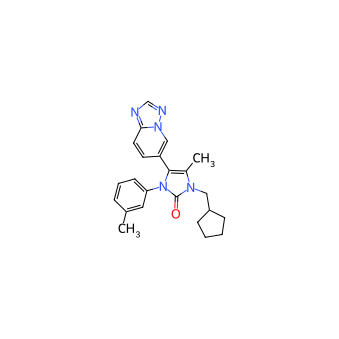 Cc1cccc(-n2c(-c3ccc4ncnn4c3)c(C)n(CC3CCCC3)c2=O)c1